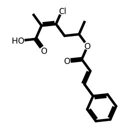 CC(C(=O)O)=C(Cl)CC(C)OC(=O)C=Cc1ccccc1